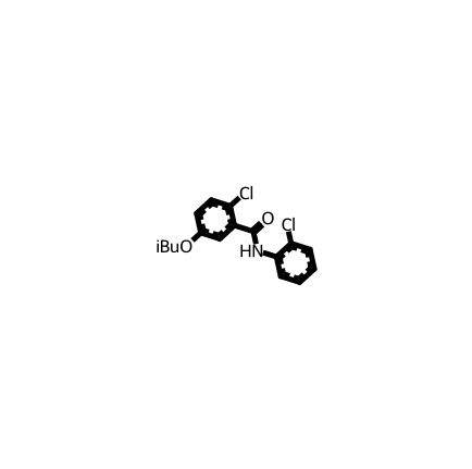 CC(C)COc1ccc(Cl)c(C(=O)Nc2ccccc2Cl)c1